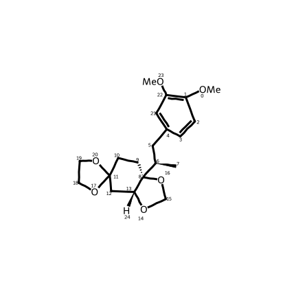 COc1ccc(C[C@@H](C)[C@]23CCC4(C[C@H]2OCO3)OCCO4)cc1OC